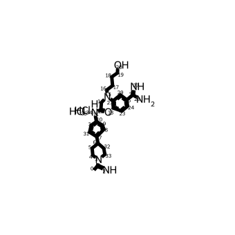 CC(=N)N1CCC(c2ccc(NC(=O)CN(CCCCO)c3cccc(C(=N)N)c3)cc2)CC1.Cl.Cl